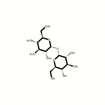 CC(=O)OC[C@H]1O[C@H](O[C@H]2O[C@H](CO)[C@@H](O)[C@H](OC(C)=O)[C@H]2OC(C)=O)[C@H](OC(C)=O)[C@@H](OC(C)=O)[C@@H]1OC(C)=O